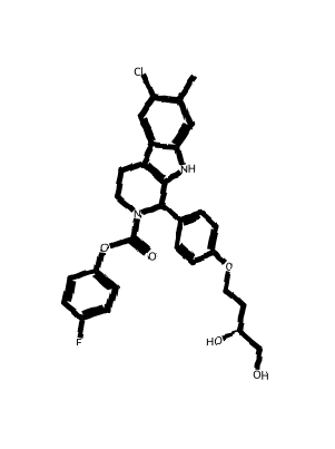 CC1C=c2[nH]c3c(c2=CC1Cl)CCN(C(=O)Oc1ccc(F)cc1)C3c1ccc(OCC[C@H](O)CO)cc1